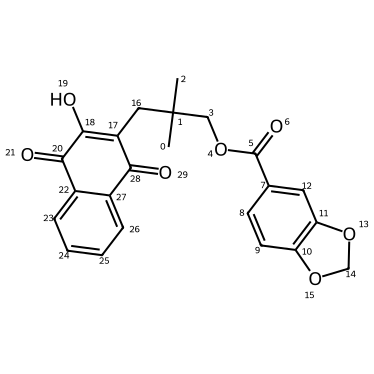 CC(C)(COC(=O)c1ccc2c(c1)OCO2)CC1=C(O)C(=O)c2ccccc2C1=O